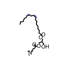 CCCCC/C=C\C/C=C\CCCCCCCC(=O)OCC(CO)COC(=O)CCCN(C)C